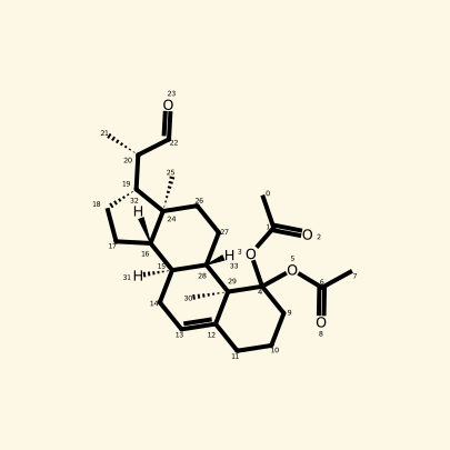 CC(=O)OC1(OC(C)=O)CCCC2=CC[C@H]3[C@@H]4CC[C@H]([C@H](C)C=O)[C@@]4(C)CC[C@@H]3[C@]21C